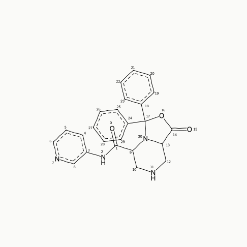 O=C(Nc1cccnc1)C1CNCC2C(=O)OC(c3ccccc3)(c3ccccc3)N12